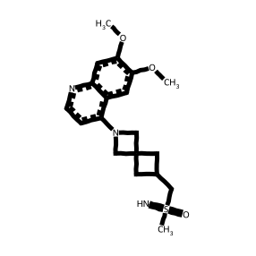 COc1cc2nccc(N3CC4(CC(CS(C)(=N)=O)C4)C3)c2cc1OC